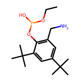 CCOP(O)Oc1c(CN)cc(C(C)(C)C)cc1C(C)(C)C